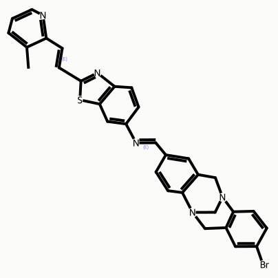 Cc1cccnc1/C=C/c1nc2ccc(/N=C/c3ccc4c(c3)CN3CN4Cc4cc(Br)ccc43)cc2s1